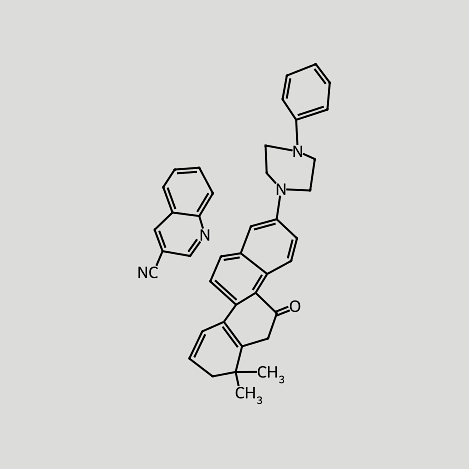 CC1(C)CC=CC2=C1CC(=O)c1c2ccc2cc(N3CCN(c4ccccc4)CC3)ccc12.N#Cc1cnc2ccccc2c1